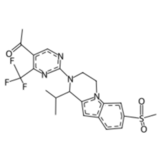 CC(=O)c1cnc(N2CCn3c(cc4ccc(S(C)(=O)=O)cc43)C2C(C)C)nc1C(F)(F)F